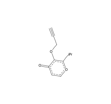 C#CCOc1c(C(C)C)occc1=O